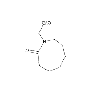 O=CCN1CCCCCCC1=O